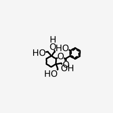 O=C(OC1C(CO)(CO)CCCC1(CO)CO)c1ccccc1O